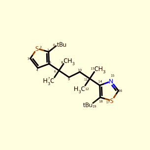 CC(C)(C)c1sccc1C(C)(C)CCC(C)(C)c1ncsc1C(C)(C)C